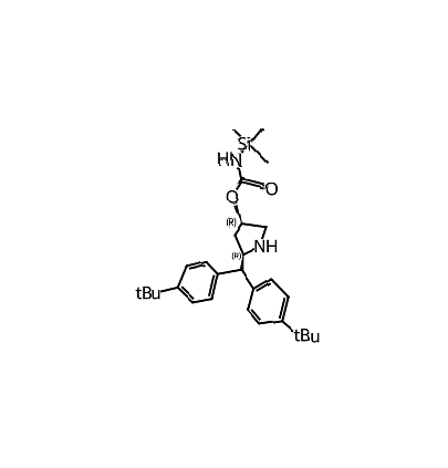 CC(C)(C)c1ccc(C(c2ccc(C(C)(C)C)cc2)[C@H]2C[C@@H](OC(=O)N[Si](C)(C)C)CN2)cc1